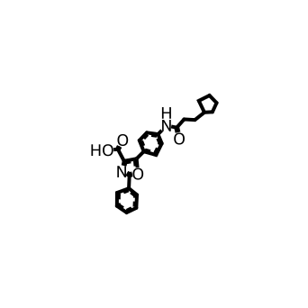 O=C(CCC1CCCC1)Nc1ccc(-c2oc(-c3ccccc3)nc2C(=O)O)cc1